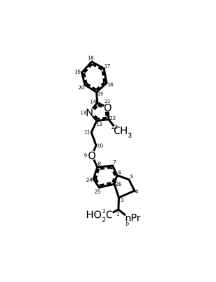 CCCC(C(=O)O)C1CCc2cc(OCCc3nc(-c4ccccc4)oc3C)ccc21